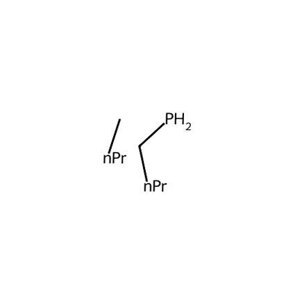 CCCC.CCCCP